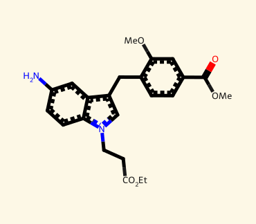 CCOC(=O)CCn1cc(Cc2ccc(C(=O)OC)cc2OC)c2cc(N)ccc21